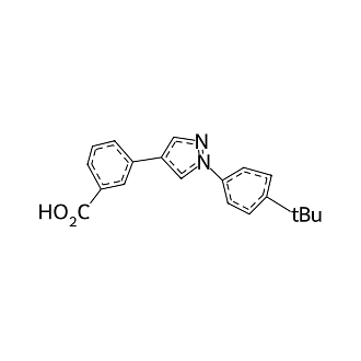 CC(C)(C)c1ccc(-n2cc(-c3cccc(C(=O)O)c3)cn2)cc1